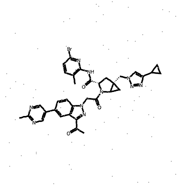 CC(=O)c1nn(CC(=O)N2C3C[C@]3(Cn3cc(C4CC4)nn3)C[C@H]2C(=O)Nc2nc(Br)ccc2C)c2ccc(-c3cnc(C)nc3)cc12